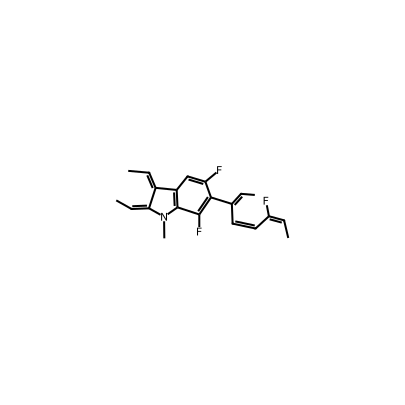 C/C=c1\c(=C/C)n(C)c2c(F)c(C(/C=C\C(F)=C/C)=C/C)c(F)cc12